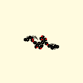 CC1(C)c2cc(-c3ccc(-c4c5ccccc5c(-c5cccc6ccccc56)c5cc(-c6ccc7c(-c8ccc(-c9ccc%10c(c9)C(C)(C)c9c-%10ccc%10oc%11c%12ccccc%12ccc%11c9%10)cc8)c8ccccc8c(-c8cccc9ccccc89)c7c6)ccc45)cc3)ccc2-c2c1ccc1oc3c4ccccc4ccc3c21